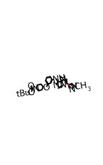 Cn1cc(-c2cnc3c(Nc4cccc(OC5CCN(C(=O)OC(C)(C)C)CC5)c4)nccn23)cn1